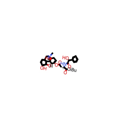 CC(C)COC(=O)[C@H](CC(=O)OC1=CC[C@@]2(O)C3Cc4ccc(O)c5c4[C@@]2(CCN3C)[C@H]1O5)NC(=O)[C@@H](O)c1ccccc1